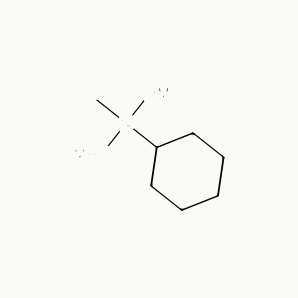 CO[Si](C)(OC)C1CCCCC1